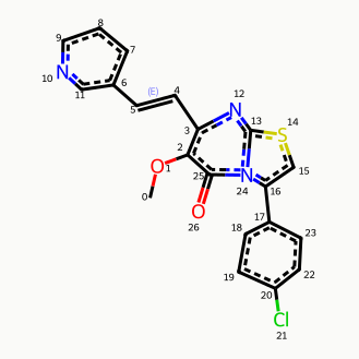 COc1c(/C=C/c2cccnc2)nc2scc(-c3ccc(Cl)cc3)n2c1=O